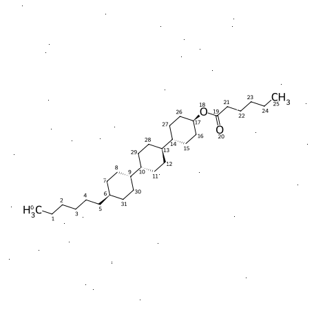 CCCCCC[C@H]1CC[C@H]([C@H]2CC[C@H]([C@H]3CC[C@H](OC(=O)CCCCC)CC3)CC2)CC1